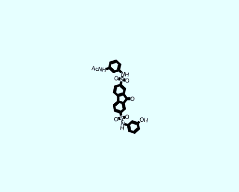 CC(=O)Nc1cccc(NS(=O)(=O)c2ccc3c(c2)C(=O)c2cc(S(=O)(=O)Nc4cccc(O)c4)ccc2-3)c1